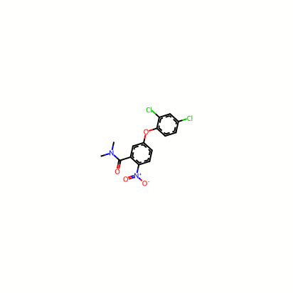 CN(C)C(=O)c1cc(Oc2ccc(Cl)cc2Cl)ccc1[N+](=O)[O-]